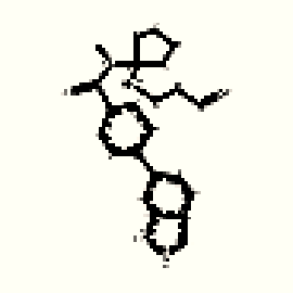 CN(C(=O)c1ccc(-c2ccc3cn[nH]c3c2)cc1)C1(NCCC=O)CCCC1